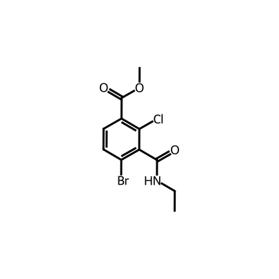 CCNC(=O)c1c(Br)ccc(C(=O)OC)c1Cl